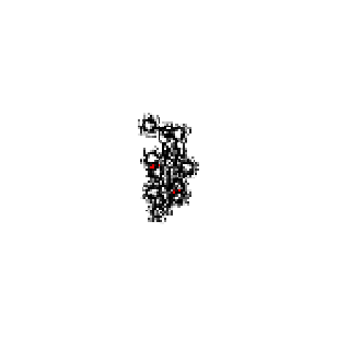 c1ccc(-c2nc(-c3cccc4cc(-c5ccccc5)oc34)nc(-c3cccc4c3oc3c(-n5c6ccccc6c6ccc7c8ccccc8n(-c8ccccc8)c7c65)cccc34)n2)cc1